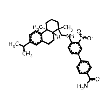 CC(C)c1ccc2c(c1)CC[C@H]1[C@@](C)(CNc3ccc(-c4ccc(C(N)=O)cc4)cc3[N+](=O)[O-])CCC[C@]21C